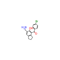 NCc1cc2c(c(C(=O)c3ccc(Br)cc3)c1O)CCC2